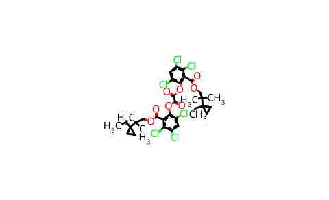 CCC1(C(C)(C)COC(=O)c2c(Cl)c(Cl)cc(Cl)c2OC(=O)C(=O)Oc2c(Cl)cc(Cl)c(Cl)c2C(=O)OCC(C)(C)C2(CC)CC2)CC1